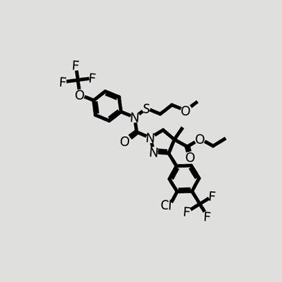 CCOC(=O)C1(C)CN(C(=O)N(SCCOC)c2ccc(OC(F)(F)F)cc2)N=C1c1ccc(C(F)(F)F)c(Cl)c1